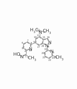 C/C(=N/O)c1cccc(-c2cc(N(C)C)c3cnn(-c4cccc(C)n4)c3c2)n1